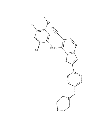 COc1cc(Nc2c(C#N)cnc3cc(-c4ccc(CN5CCSCC5)cc4)sc23)c(Cl)cc1Cl